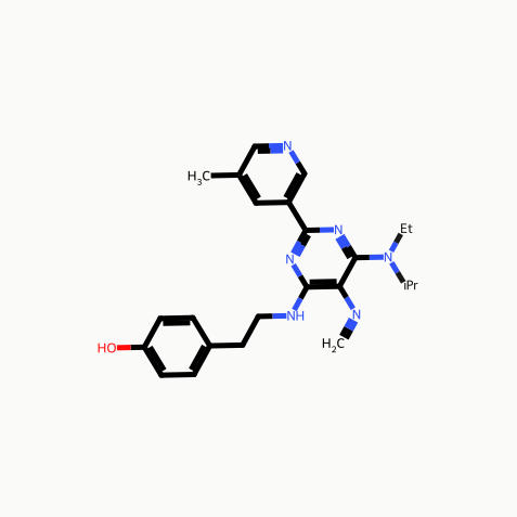 C=Nc1c(NCCc2ccc(O)cc2)nc(-c2cncc(C)c2)nc1N(CC)C(C)C